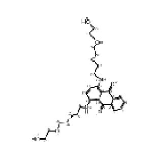 O=C1c2ccccc2C(=O)c2c(NCCOCCOCCO)ccc(NCCOCCOCCO)c21